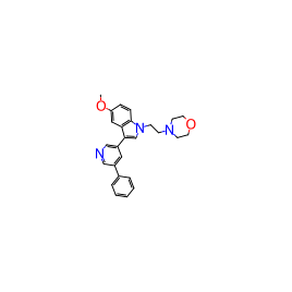 COc1ccc2c(c1)c(-c1cncc(-c3ccccc3)c1)cn2CCN1CCOCC1